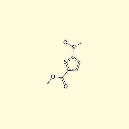 COC(=O)c1ccc([S+](C)[O-])s1